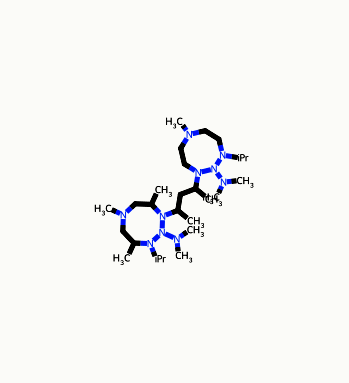 CC(C)N1CCN(C)CCN(C(C)CC(C)N2C(C)CN(C)CC(C)N(C(C)C)N2N(C)C)N1N(C)C